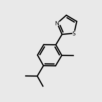 Cc1cc(C(C)C)ccc1-c1nccs1